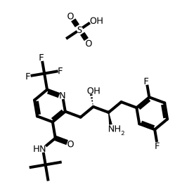 CC(C)(C)NC(=O)c1ccc(C(F)(F)F)nc1C[C@H](O)[C@H](N)Cc1cc(F)ccc1F.CS(=O)(=O)O